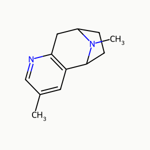 Cc1cnc2c(c1)C1CCC(C2)N1C